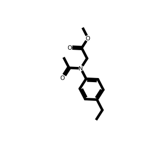 CCc1ccc(N(CC(=O)OC)C(C)=O)cc1